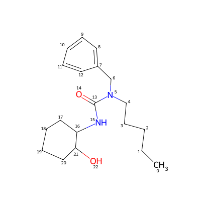 CCCCCN(Cc1ccccc1)C(=O)NC1CCCCC1O